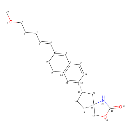 COCCC/C=C/C1=Cc2ccc([C@H]3CC[C@]4(COC(=O)N4)C3)cc2CC1